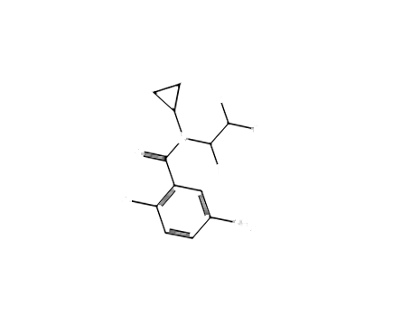 Nc1ccc(Cl)c(C(=O)N(C2CC2)C(F)C(F)F)c1